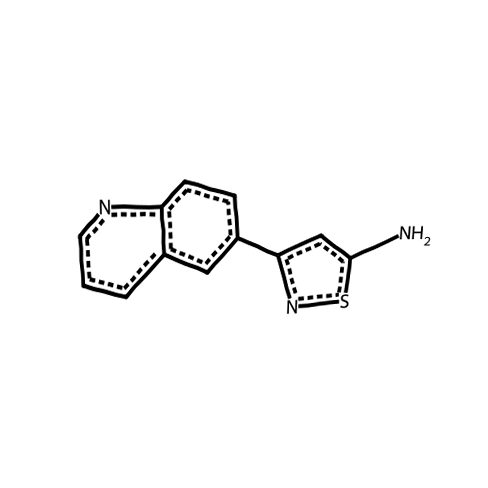 Nc1cc(-c2ccc3ncccc3c2)ns1